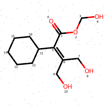 O=C(OCO)C(=C(CO)CO)C1CCCCC1